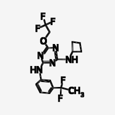 CC(F)(F)c1cccc(Nc2nc(NC3CCC3)nc(OCC(F)(F)F)n2)c1